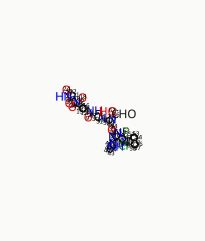 CN1C[C@@H](N2CCC(C(=O)Nc3ccc4c(c3)C(=O)N(C3CCC(=O)NC3=O)C4=O)CC2)C[C@H]1COc1nc(N2CC3CCC(C2)N3)c2cnc(-c3cccc4cccc(Cl)c34)c(F)c2n1.O=CO